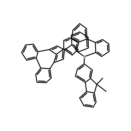 CC1(C)c2ccccc2-c2ccc(N(c3cccc(-c4c5cc(-c6ccccc6)cc4-c4ccccc4-c4ccccc4-5)c3)c3ccccc3-c3ccccc3)cc21